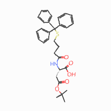 CC(C)(C)OC(=O)C[C@H](NC(=O)CCCSC(c1ccccc1)(c1ccccc1)c1ccccc1)C(=O)O